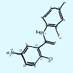 C=C(Nc1ccc(C)cc1F)c1cc(N)ccc1Cl